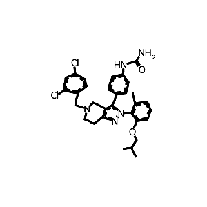 Cc1cccc(OCC(C)C)c1-n1nc2c(c1-c1ccc(NC(N)=O)cc1)CN(Cc1ccc(Cl)cc1Cl)CC2